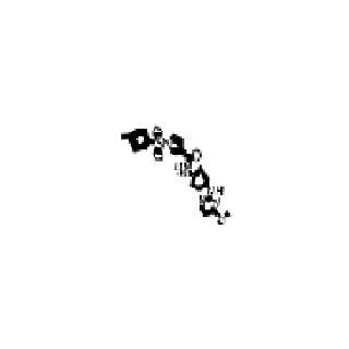 Cc1ccc(S(=O)(=O)n2ccc(C(=O)N[C@H]3CC[C@@H](Nc4nccc(N(C)C)n4)CC3)c2)cc1